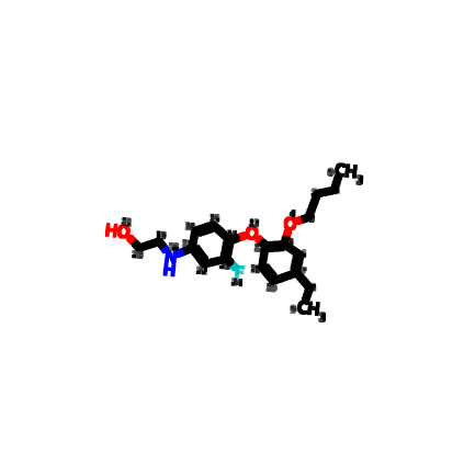 CCCCOc1cc(CC)ccc1Oc1ccc(NCCO)cc1F